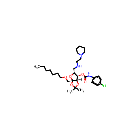 CCCCCCCOC[C@@]12O[C@@H](CNCCN3CCCCC3)[C@@H](OC(=O)Nc3ccc(Cl)cc3)[C@@H]1OC(C)(C)O2